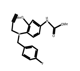 C#CCN(Cc1ccc(F)cc1)c1ccc(NC(=O)OC)cc1OC